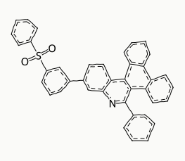 O=S(=O)(c1ccccc1)c1cccc(-c2ccc3c(c2)nc(-c2ccccc2)c2c4ccccc4c4ccccc4c32)c1